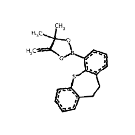 C=C1OB(c2cccc3c2Sc2ccccc2CC3)OC1(C)C